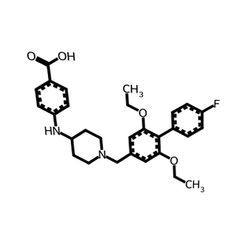 CCOc1cc(CN2CCC(Nc3ccc(C(=O)O)cc3)CC2)cc(OCC)c1-c1ccc(F)cc1